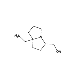 NCC12CCCN1C(CO)CC2